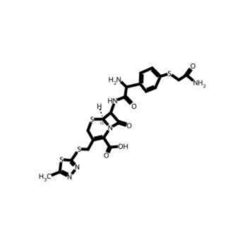 Cc1nnc(SCC2=C(C(=O)O)N3C(=O)C(NC(=O)C(N)c4ccc(SCC(N)=O)cc4)[C@@H]3SC2)s1